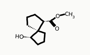 COC(=O)[C@H]1CCC[C@@]12CCC[C@@H]2O